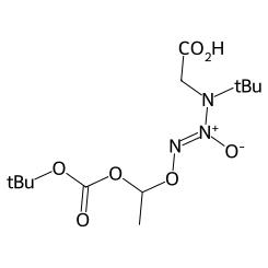 CC(O/N=[N+](\[O-])N(CC(=O)O)C(C)(C)C)OC(=O)OC(C)(C)C